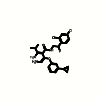 CC(C)/C(N)=C(C(=O)NCC(F)c1ccc(Cl)cc1Cl)/C(=C\N)Oc1cccc(C2CC2)c1